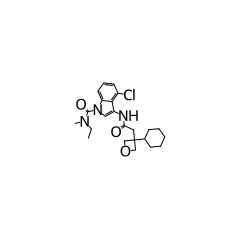 CCN(C)C(=O)n1cc(NC(=O)CC2(C3CCCCC3)COC2)c2c(Cl)cccc21